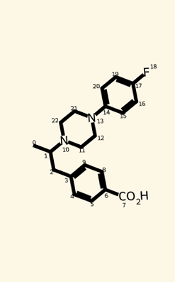 CC(Cc1ccc(C(=O)O)cc1)N1CCN(c2ccc(F)cc2)CC1